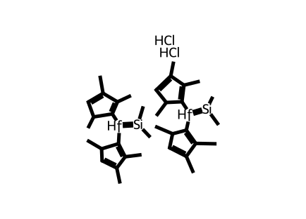 CC1=CC(C)[C]([Hf]([C]2=C(C)C(C)=CC2C)=[Si](C)C)=C1C.CC1=CC(C)[C]([Hf]([C]2=C(C)C(C)=CC2C)=[Si](C)C)=C1C.Cl.Cl